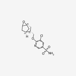 NS(=O)(=O)c1cnc(OC[C@H]2C[C@]34C[C@@H]2CC3O4)c(Cl)c1